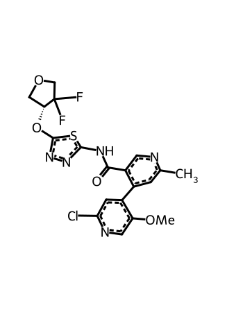 COc1cnc(Cl)cc1-c1cc(C)ncc1C(=O)Nc1nnc(O[C@@H]2COCC2(F)F)s1